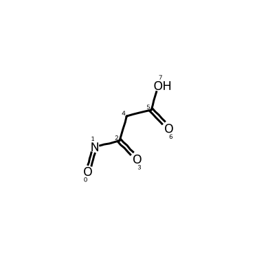 O=NC(=O)CC(=O)O